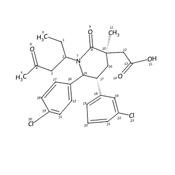 CCC(CC(C)=O)N1C(=O)[C@@](C)(CC(=O)O)C[C@H](c2cccc(Cl)c2)C1c1ccc(Cl)cc1